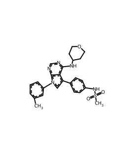 Cc1cccc(-n2cc(-c3ccc(NS(C)(=O)=O)cc3)c3c(NC4CCOCC4)ncnc32)c1